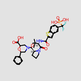 CC(C)(C)[C@H](NC(=O)c1cc2cc(C(F)(F)P(=O)(O)O)ccc2s1)C(=O)N1CCC[C@H]1C(=O)N1CC(C(=O)O)OC(c2ccccc2)C1